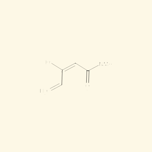 C=C/C(=C\C(=O)NC)CC